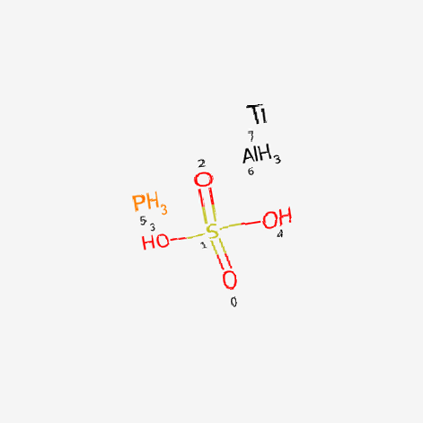 O=S(=O)(O)O.P.[AlH3].[Ti]